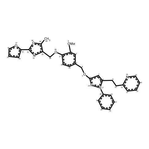 COc1cc(COc2cc(CCc3ccccn3)n(-c3ccccc3)n2)ccc1OCc1nc(-c2ccco2)oc1C